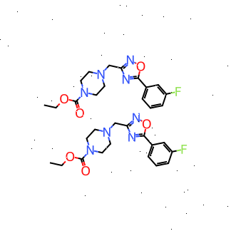 CCOC(=O)N1CCN(Cc2noc(-c3cccc(F)c3)n2)CC1.CCOC(=O)N1CCN(Cc2noc(-c3cccc(F)c3)n2)CC1